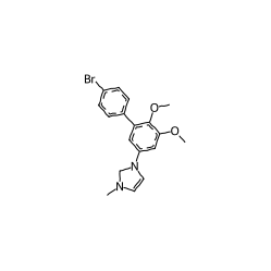 COc1cc(N2C=CN(C)C2)cc(-c2ccc(Br)cc2)c1OC